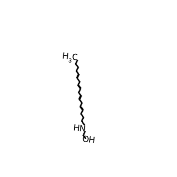 CCCCCC=CCC=CCC=CCC=CCCCCNCCO